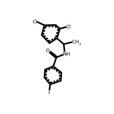 CC(NC(=O)c1ccc(I)cc1)c1ccc(Cl)cc1Cl